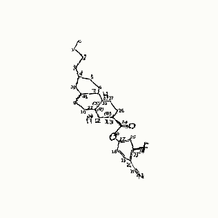 CCCCC1CCC2C(CC[C@@H]3C[C@H](C(=O)Oc4ccc(C#N)c(F)c4)CC[C@H]23)C1